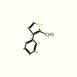 O=Cc1sccc1-c1cc[c]cc1